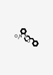 O=[N+]([O-])c1ccccc1N1CCOC(Cc2ccccc2)C1